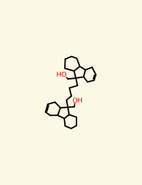 OCC1(CCCCC2(CO)C3CC=CCC3C3CCCCC32)C2CC=CCC2C2CCCCC21